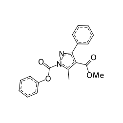 COC(=O)c1c(-c2ccccc2)nn(C(=O)Oc2ccccc2)c1C